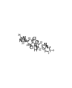 Cc1ccc2c3c(nn2c1)CCC(C)(NC(=O)c1c(Cl)cc(-n2cnc(C)n2)cc1Cl)C3